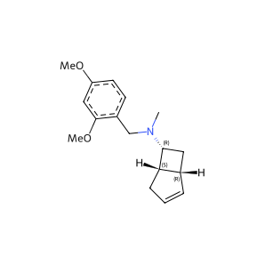 COc1ccc(CN(C)[C@@H]2C[C@@H]3C=CC[C@H]23)c(OC)c1